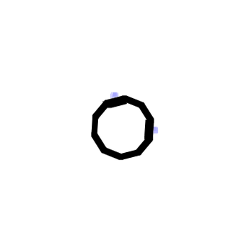 [C]1=C\C/C=C\CCCCC/1